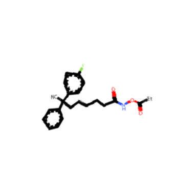 CCC(=O)ONC(=O)CCCCCC(C#N)(c1ccccc1)c1ccc(F)cc1